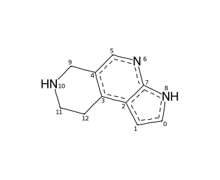 c1cc2c3c(cnc2[nH]1)CNCC3